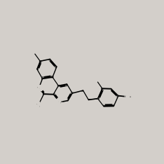 Cc1ccc2c(c1)nc(N)c1ncc(CCc3ccc(O)cc3C)cc12